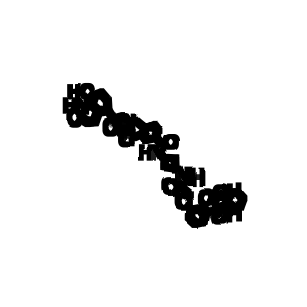 O=C(COc1cccc([C@](O)(C(=O)O)c2ccccc2)c1)NC1CC(NC(=O)c2ccc(CNC[C@H](O)c3ccc(O)c4[nH]c(=O)ccc34)c(Cl)c2)C1